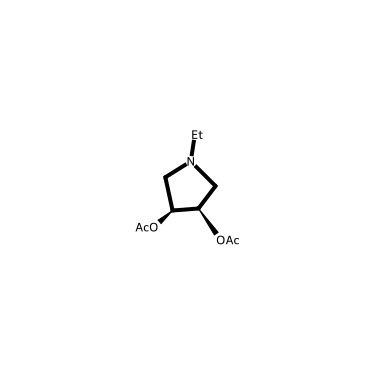 CCN1C[C@H](OC(C)=O)[C@H](OC(C)=O)C1